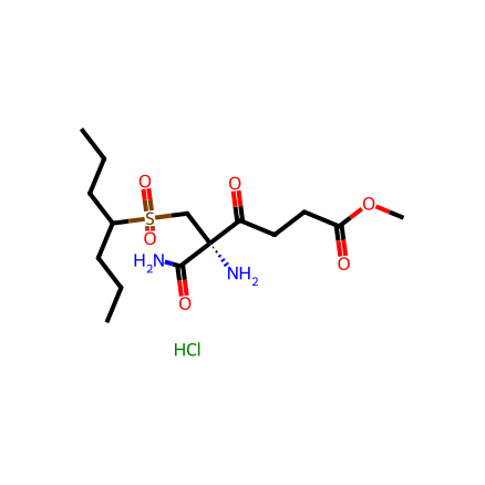 CCCC(CCC)S(=O)(=O)C[C@](N)(C(N)=O)C(=O)CCC(=O)OC.Cl